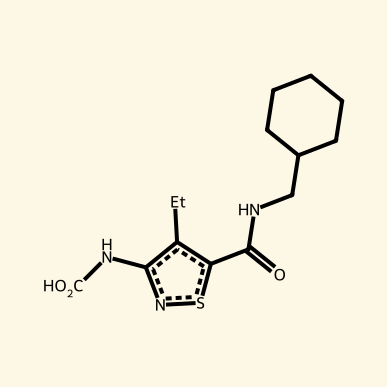 CCc1c(NC(=O)O)nsc1C(=O)NCC1CCCCC1